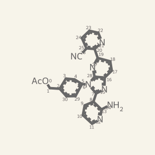 CC(=O)OCc1ccc(-n2c(-c3cccnc3N)nc3ccc(-c4ncccc4C#N)nc32)cc1